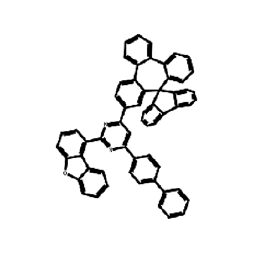 c1ccc(-c2ccc(-c3cc(-c4ccc5c(c4)C4(c6ccccc6-c6ccccc6-5)c5ccccc5-c5ccccc54)nc(-c4cccc5oc6ccccc6c45)n3)cc2)cc1